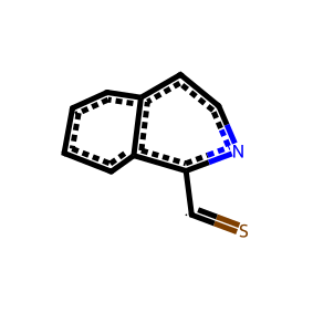 S=[C]c1nccc2ccccc12